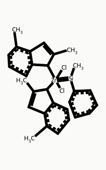 CC1=Cc2c(C)cccc2[CH]1[Zr]([Cl])([Cl])([CH]1C(C)=Cc2c(C)cccc21)=[Si](C)c1ccccc1